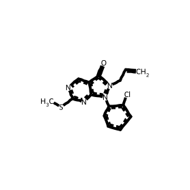 C=CCn1c(=O)c2cnc(SC)nc2n1-c1ccccc1Cl